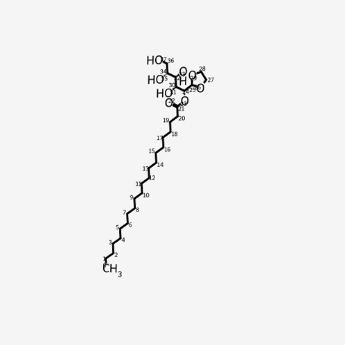 CCCCCCCCCCCCCCCCCCCCCC(=O)O[C@@H](C1OCCO1)[C@@H](O)[C@H](O)[C@H](O)CO